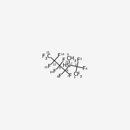 C[SiH](C(F)(F)C(F)(F)F)C(F)(F)C(F)(F)C(F)(F)C(F)(F)F